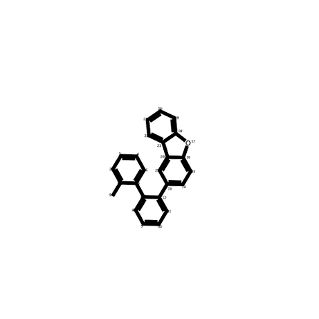 Cc1ccccc1-c1ccccc1-c1ccc2oc3ccccc3c2c1